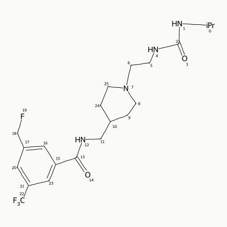 CC(C)NC(=O)NCCN1CCC(CNC(=O)c2cc(CF)cc(C(F)(F)F)c2)CC1